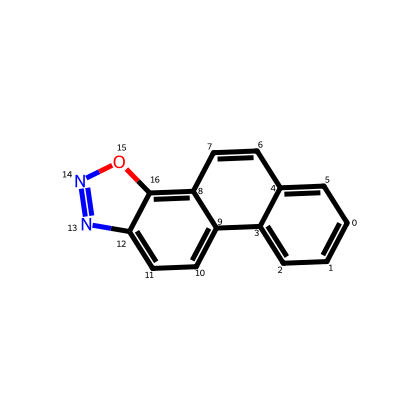 c1ccc2c(c1)ccc1c2ccc2nnoc21